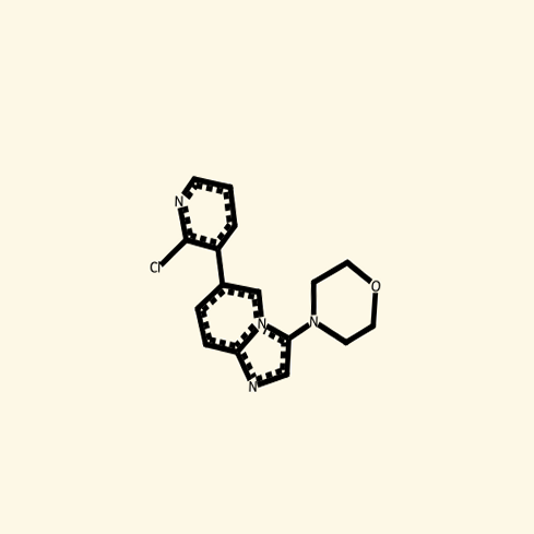 Clc1ncccc1-c1ccc2ncc(N3CCOCC3)n2c1